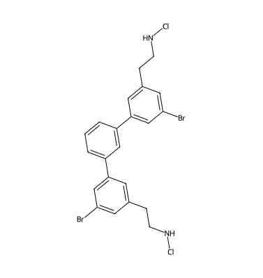 ClNCCc1cc(Br)cc(-c2cccc(-c3cc(Br)cc(CCNCl)c3)c2)c1